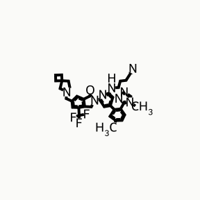 Cc1ccc(-c2nncn2C)c(-c2cc(NCCCC#N)nc(N3Cc4c(cc(CN5CCC6(CCC6)C5)cc4C(F)(F)F)C3=O)c2)c1